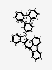 c1ccc2c(c1)-c1cccc3c1c-2cc1c2ccccc2n(-c2ccc4c5ccccc5c5ccccc5c4c2)c31